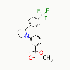 COC1(c2cccc(N3CCCC3c3ccc(C(F)(F)F)cc3)c2)COC1